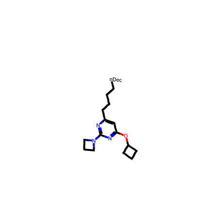 CCCCCCCCCCCCCCc1cc(OC2CCC2)nc(N2CCC2)n1